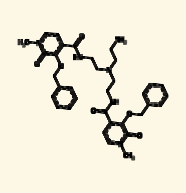 Cn1ccc(C(=O)NCCN(CCN)CCNC(=O)c2ccn(C)c(=O)c2OCc2ccccc2)c(OCc2ccccc2)c1=O